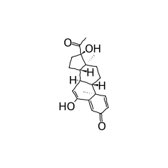 CC(=O)[C@@]1(O)CC[C@H]2[C@@H]3C=C(O)C4=CC(=O)C=C[C@]4(C)[C@H]3CC[C@@]21C